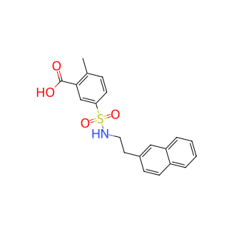 Cc1ccc(S(=O)(=O)NCCc2ccc3ccccc3c2)cc1C(=O)O